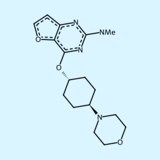 CNc1nc(O[C@H]2CC[C@H](N3CCOCC3)CC2)c2occc2n1